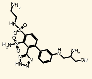 NCCNS(=O)(=O)c1ccc(-c2cccc(NCC(N)CO)c2)c(-c2nn[nH]n2)c1S(N)(=O)=O